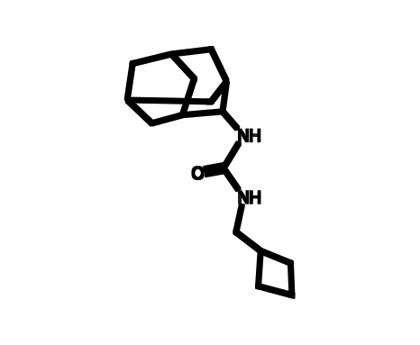 O=C(NCC1CCC1)NC1C2CC3CC(C2)CC1C3